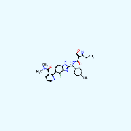 CCc1nocc1C(=O)N[C@H](c1nc2c(F)c(-c3ncccc3C(=O)N(C)C)ccc2[nH]1)C1CCC(C)CC1